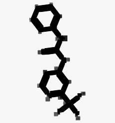 O=C(Nc1ccccc1)Oc1ccnc(C(F)(F)F)c1